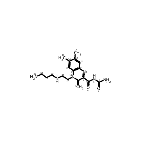 C=C1C(C(=O)NC(N)=O)=Nc2cc(C)c(C)cc2N1CCNCCCN